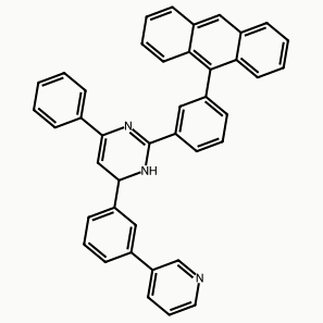 C1=C(c2ccccc2)N=C(c2cccc(-c3c4ccccc4cc4ccccc34)c2)NC1c1cccc(-c2cccnc2)c1